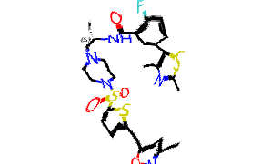 Cc1cc(-c2ccc(S(=O)(=O)N3CCN(C[C@H](C)NC(=O)c4cc(-c5sc(C)nc5C)ccc4F)CC3)s2)on1